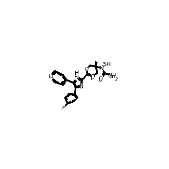 CC1(N(S)C(N)=O)COC(c2nc(-c3ccc(F)cc3)c(-c3ccncc3)[nH]2)OC1